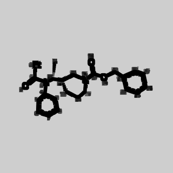 CCC(=O)N(c1ccccc1)[C@H](C)[C@H]1CCCN(C(=O)OCc2ccccc2)C1